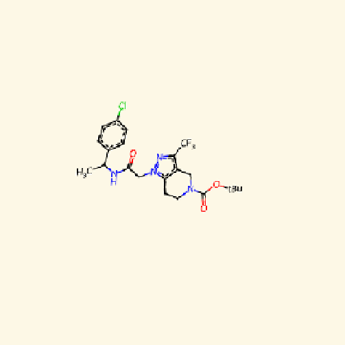 CC(NC(=O)Cn1nc(C(F)(F)F)c2c1CCN(C(=O)OC(C)(C)C)C2)c1ccc(Cl)cc1